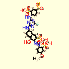 COc1ccc(/N=N/c2c(S(=O)(=O)O)cc3cc(Nc4nc(F)nc(Nc5ccc([SH](=O)=O)cc5S(=O)(=O)O)n4)ccc3c2O)c(S(=O)(=O)O)c1